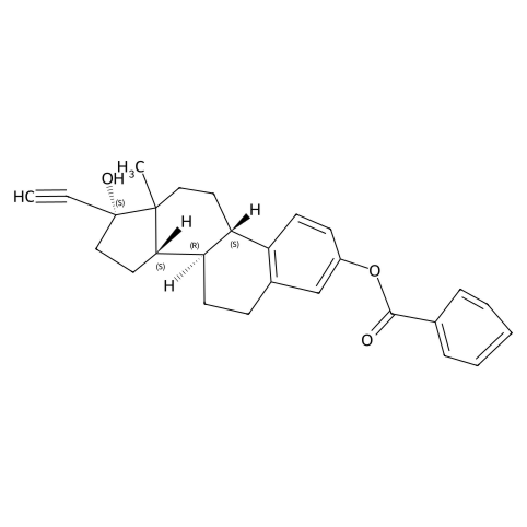 C#C[C@]1(O)CC[C@H]2[C@@H]3CCc4cc(OC(=O)c5ccccc5)ccc4[C@H]3CCC21C